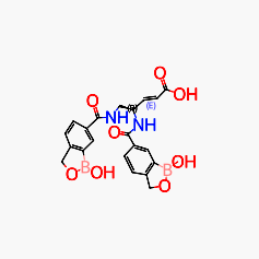 O=C(O)/C=C/[C@H](CNC(=O)c1ccc2c(c1)B(O)OC2)NC(=O)c1ccc2c(c1)B(O)OC2